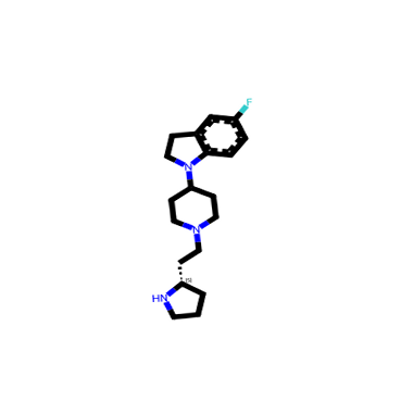 Fc1ccc2c(c1)CCN2C1CCN(CC[C@@H]2CCCN2)CC1